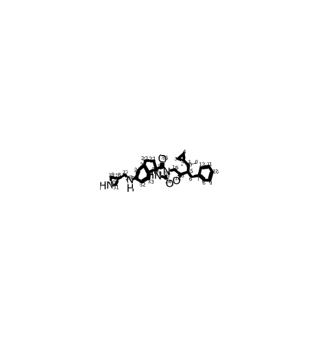 C[C@@H](C1CC1)C(Cc1ccccc1)C(=O)CN1C(=O)NC2(CCc3cc(NCC4CNC4)ccc32)C1=O